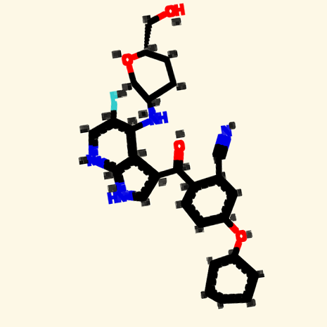 N#Cc1cc(Oc2ccccc2)ccc1C(=O)c1c[nH]c2ncc(F)c(N[C@@H]3CC[C@@H](CO)OC3)c12